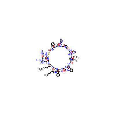 C=CCCCCC[C@H]1C(=O)N(C)[C@@H](CCCCCC=C)C(=O)N[C@@H](CCCNC(=N)N)C(=O)N[C@H](C(=O)NC(C=O)CN)CSCC(=O)N[C@@H](Cc2ccccc2)C(=O)N(C)[C@@H](C)C(=O)N[C@@H](CC(N)=O)C(=O)N2CCC[C@H]2C(=O)N[C@@H](Cc2cnc[nH]2)C(=O)N[C@@H](CC(C)C)C(=O)N(C)CC(=O)N[C@@H](Cc2c[nH]c3ccccc23)C(=O)N[C@@H](CO)C(=O)N[C@@H](Cc2c[nH]c3ccccc23)C(=O)N1C